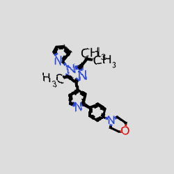 Cc1c(-c2ccnc(-c3ccc(N4CCOCC4)cc3)c2)nc(C(C)C)n1-c1ccccn1